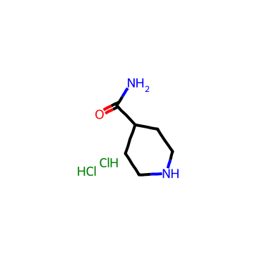 Cl.Cl.NC(=O)C1CCNCC1